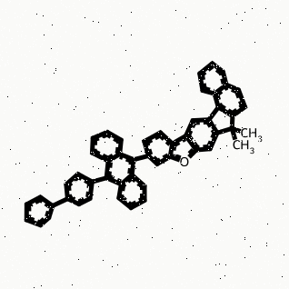 CC1(C)c2cc3oc4cc(-c5c6ccccc6c(-c6ccc(-c7ccccc7)cc6)c6ccccc56)ccc4c3cc2-c2c1ccc1ccccc21